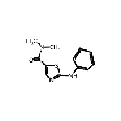 CN(C)C(=O)c1cnc(Nc2ccccc2)s1